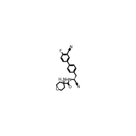 N#Cc1cc(-c2ccc(C[C@@H](C#N)NC(=O)C3(N)CCOCC3)cc2)ccc1F